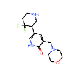 O=c1[nH]cc(C2CNCCC2(F)F)cc1CN1CCOCC1